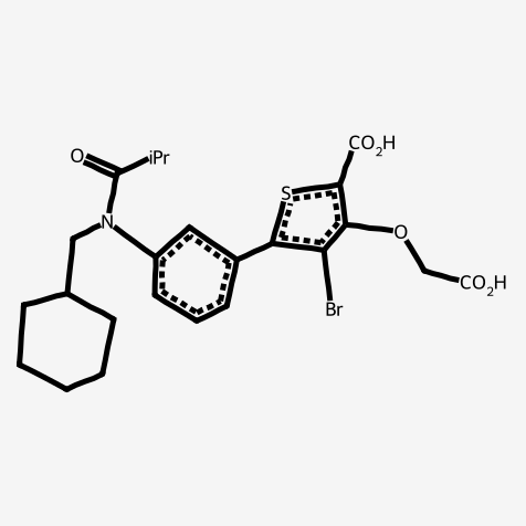 CC(C)C(=O)N(CC1CCCCC1)c1cccc(-c2sc(C(=O)O)c(OCC(=O)O)c2Br)c1